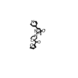 Cn1c(N2CCOC(C(=O)c3ccco3)C2)nc(-c2ccncc2)cc1=O